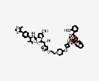 Cc1ncsc1-c1ccc([C@@H](NC(=O)[C@@H]2C[C@@H](O)CN2C(=O)[C@@H](c2cc(OCCN3CCC(O[C@H]4C[C@H](Oc5cc(N6C7CCC6CN(c6cc(-c8ccccc8O)nnc6N)C7)ccn5)C4)CC3)no2)C(C)C)C(F)F)cc1